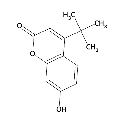 CC(C)(C)c1cc(=O)oc2cc(O)ccc12